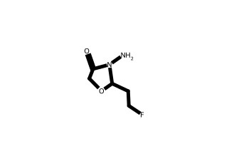 NN1C(=O)COC1CCF